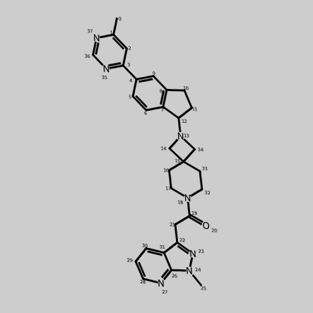 Cc1cc(-c2ccc3c(c2)CCC3N2CC3(CCN(C(=O)Cc4nn(C)c5ncccc45)CC3)C2)ncn1